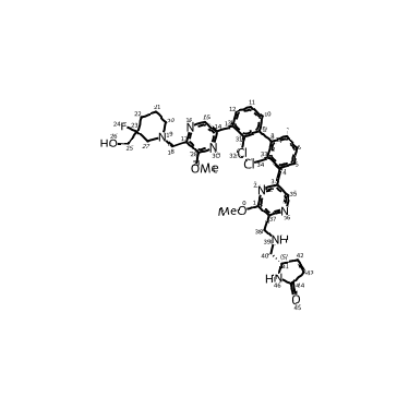 COc1nc(-c2cccc(-c3cccc(-c4cnc(CN5CCCC(F)(CO)C5)c(OC)n4)c3Cl)c2Cl)cnc1CNC[C@@H]1CCC(=O)N1